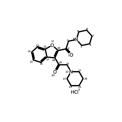 Cl.O=C(CN1CCCCC1)c1oc2ccccc2c1C(=O)CN1CCCCC1